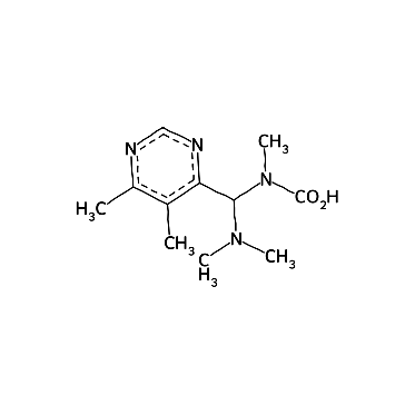 Cc1ncnc(C(N(C)C)N(C)C(=O)O)c1C